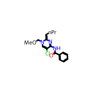 CCCC=C1N=C(NC(=O)c2ccccc2)C(Cl)=CN1COC